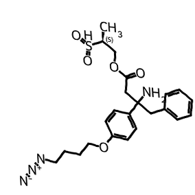 C[C@@H](COC(=O)CC(N)(Cc1ccccc1)c1ccc(OCCCCN=[N+]=[N-])cc1)[SH](=O)=O